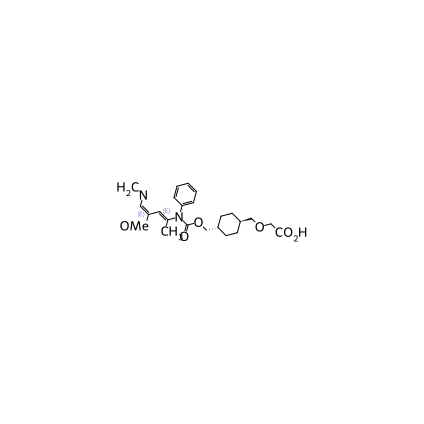 C=N/C=C(\C=C(/C)N(C(=O)OC[C@H]1CC[C@H](COCC(=O)O)CC1)c1ccccc1)OC